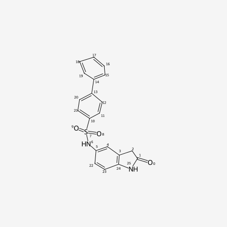 O=C1Cc2cc(NS(=O)(=O)c3ccc(-c4ccccc4)cc3)ccc2N1